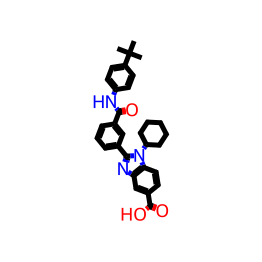 CC(C)(C)c1ccc(NC(=O)c2cccc(-c3nc4cc(C(=O)O)ccc4n3C3CCCCC3)c2)cc1